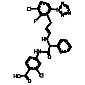 O=C(O)c1ccc(NC(=O)C(NC=CCc2c(-n3ncnn3)ccc(Cl)c2F)c2ccccc2)cc1Cl